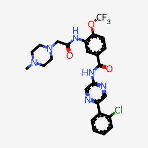 CN1CCN(CC(=O)Nc2cc(C(=O)Nc3cnc(-c4ccccc4Cl)cn3)ccc2OC(F)(F)F)CC1